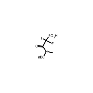 CCCCN(C)C(=O)C(F)(F)S(=O)(=O)O